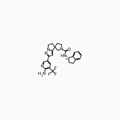 Nc1ncc(-c2cc3n(n2)CCC32CCN(C(=O)N[C@H]3CCc4ccccc43)C2)cc1C(F)(F)F